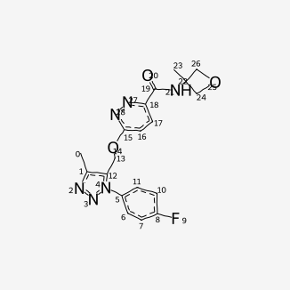 Cc1nnn(-c2ccc(F)cc2)c1COc1ccc(C(=O)NC2(C)COC2)nn1